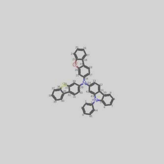 c1ccc(-n2c3ccccc3c3ccc(N(c4ccc5c(c4)oc4ccccc45)c4ccc5c(c4)sc4ccccc45)cc32)cc1